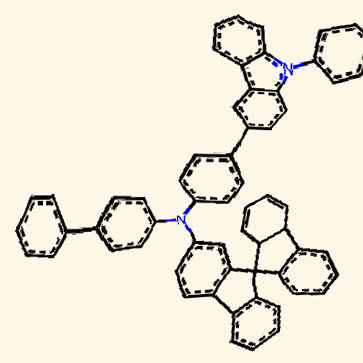 C1=CC2c3ccccc3C3(c4ccccc4-c4ccc(N(c5ccc(-c6ccccc6)cc5)c5ccc(-c6ccc7c(c6)c6ccccc6n7-c6ccccc6)cc5)cc43)C2C=C1